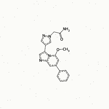 COc1cc(-c2ccccc2)cc2ncc(-c3cnn(CC(N)=O)c3)n12